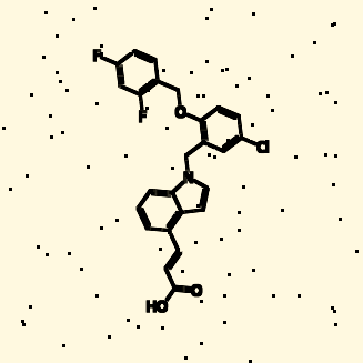 O=C(O)C=Cc1cccc2c1ccn2Cc1cc(Cl)ccc1OCc1ccc(F)cc1F